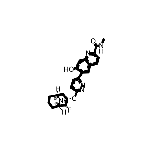 CNC(=O)c1ccc2cc(-c3ccc(O[C@H]4C[C@@H]5CCC[C@@H](N5)[C@H]4F)nn3)c(O)cc2n1